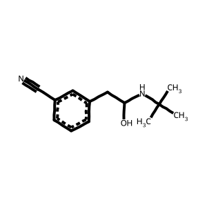 CC(C)(C)NC(O)Cc1cccc(C#N)c1